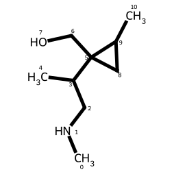 CNCC(C)C1(CO)CC1C